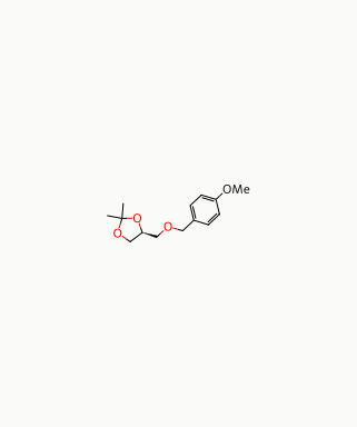 COc1ccc(COC[C@H]2COC(C)(C)O2)cc1